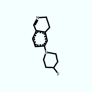 FC1CCN(c2ccc3c(c2)CCN=C3)CC1